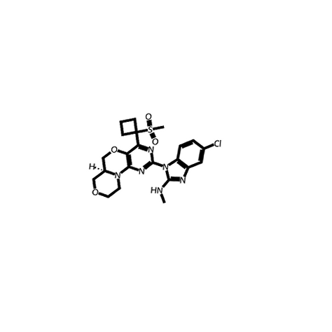 CNc1nc2cc(Cl)ccc2n1-c1nc2c(c(C3(S(C)(=O)=O)CCC3)n1)OC[C@@H]1COCCN21